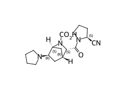 N#C[C@@H]1CCCN1C(=O)[C@@H]1[C@@H]2C[C@@H](N3CCCC3)[C@H](C2)N1C(=O)O